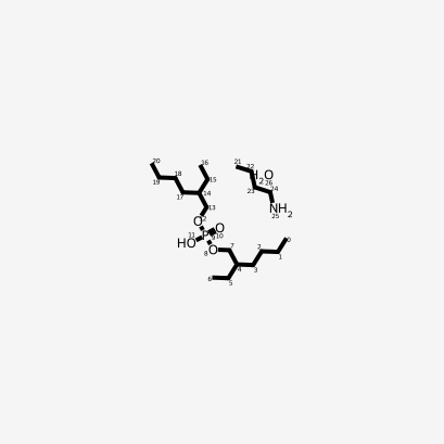 CCCCC(CC)COP(=O)(O)OCC(CC)CCCC.CCCCN.O